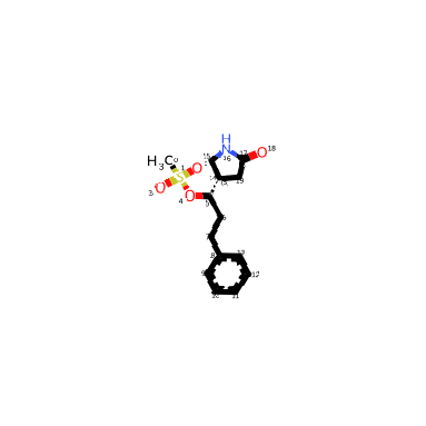 CS(=O)(=O)OC(CCc1ccccc1)[C@@H]1CNC(=O)C1